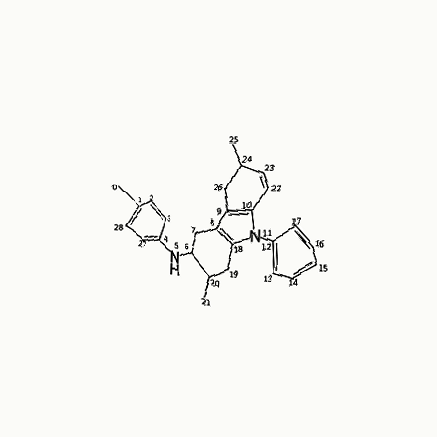 Cc1ccc(NC2Cc3c4c(n(-c5ccccc5)c3CC2C)C=CC(C)C4)cc1